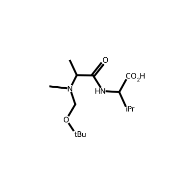 CC(C)C(NC(=O)C(C)N(C)COC(C)(C)C)C(=O)O